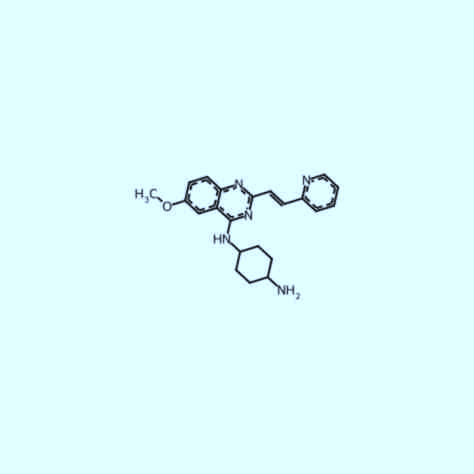 COc1ccc2nc(/C=C/c3ccccn3)nc(NC3CCC(N)CC3)c2c1